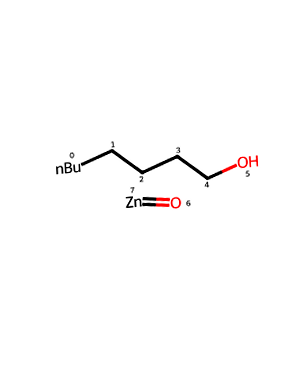 CCCCCCCCO.[O]=[Zn]